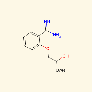 COC(O)COc1ccccc1C(=N)N